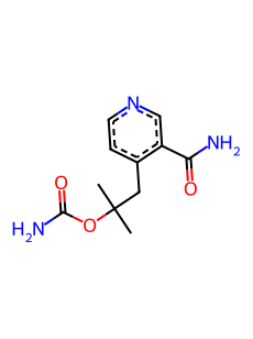 CC(C)(Cc1ccncc1C(N)=O)OC(N)=O